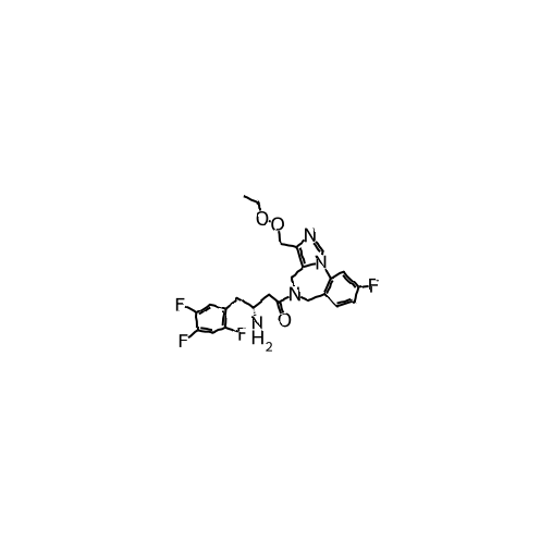 CCOOCc1ncn2c1CN(C(=O)C[C@H](N)Cc1cc(F)c(F)cc1F)Cc1ccc(F)cc1-2